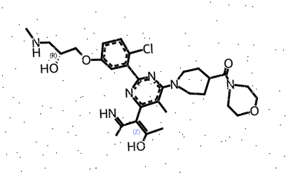 CNC[C@@H](O)COc1ccc(Cl)c(-c2nc(/C(C(C)=N)=C(\C)O)c(C)c(N3CCC(C(=O)N4CCOCC4)CC3)n2)c1